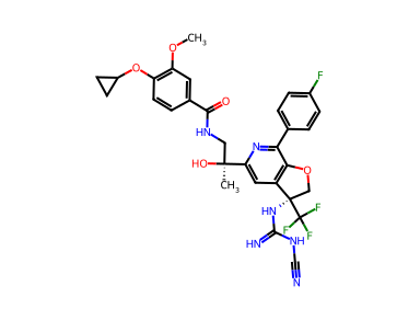 COc1cc(C(=O)NC[C@](C)(O)c2cc3c(c(-c4ccc(F)cc4)n2)OC[C@@]3(NC(=N)NC#N)C(F)(F)F)ccc1OC1CC1